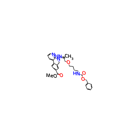 COC(=O)c1ccc2c(c1)CN(N[C@@H](C)COCCCCNC(=O)OCc1ccccc1)c1ncccc1-2